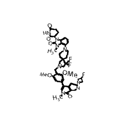 COc1cc(-c2cn(C)c(=O)c3cnc(N4CC(F)C4)cc23)cc(OC)c1CN1CC(F)(F)C2(CCN(c3cccc4c3n(C)c(=O)n4C3CCC(=O)NC3=O)CC2)C1